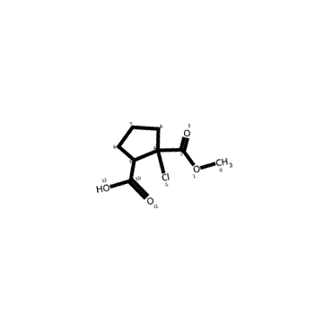 COC(=O)C1(Cl)CCCC1C(=O)O